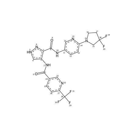 O=C(Nc1c[nH]nc1C(=O)Nc1ccc(N2CCC(F)(F)C2)nc1)c1ccc(C(F)(F)F)nc1